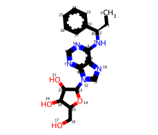 CC[C@@H](Nc1ncnc2c1ncn2C1OC(CO)C(O)C1O)c1ccccc1